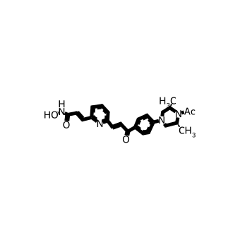 CC(=O)N1[C@H](C)CN(c2ccc(C(=O)C=Cc3cccc(C=CC(=O)NO)n3)cc2)C[C@@H]1C